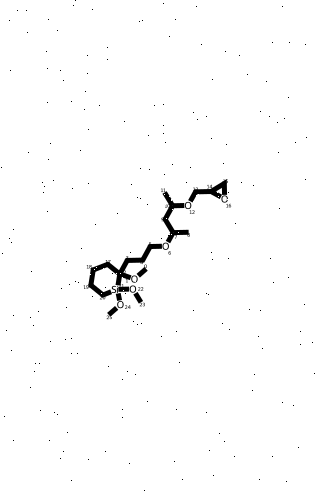 COC1(CCCOC(C)CC(C)OCC2CO2)CCCC[Si]1(OC)OC